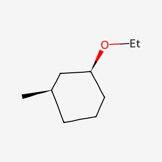 CCO[C@H]1CCC[C@@H](C)C1